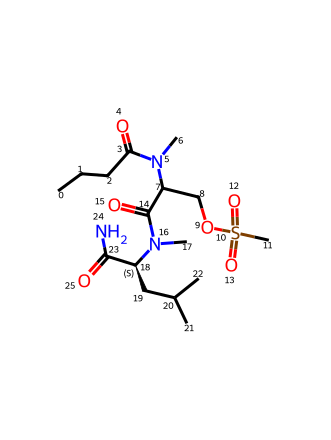 CCCC(=O)N(C)C(COS(C)(=O)=O)C(=O)N(C)[C@@H](CC(C)C)C(N)=O